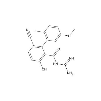 COc1ccc(F)c(-c2c(C#N)ccc(O)c2C(=O)NC(=N)N)c1